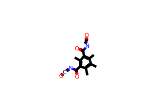 Cc1c(C)c(C(=O)N=C=O)c(C)c(C(=O)N=C=O)c1C